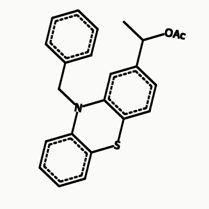 CC(=O)OC(C)c1ccc2c(c1)N(Cc1ccccc1)c1ccccc1S2